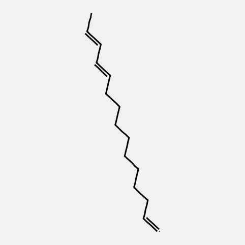 [CH]=CCCCCCCCCC=CC=CC